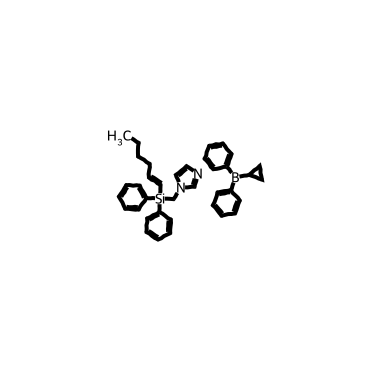 CCCCC=C[Si](Cn1ccnc1)(c1ccccc1)c1ccccc1.c1ccc(B(c2ccccc2)C2CC2)cc1